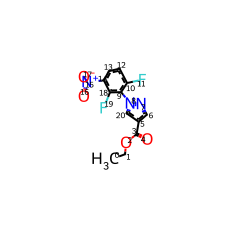 CCOC(=O)c1cnn(-c2c(F)ccc([N+](=O)[O-])c2F)c1